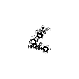 CCCS(=O)(=O)Nc1ccc(F)c(Nc2cnc3[nH]cc(C(=O)Nc4ccccc4)c3c2)c1F